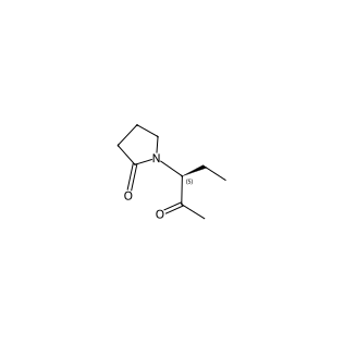 CC[C@@H](C(C)=O)N1CCCC1=O